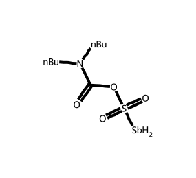 CCCCN(CCCC)C(=O)O[S](=O)(=O)[SbH2]